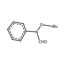 CCCCON(C=O)c1c[c]ccc1